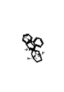 N#Cc1ccc(N2[C@@H]3CC[C@H]2C[C@](O)(Cc2ccccc2)C3)c2ccccc12